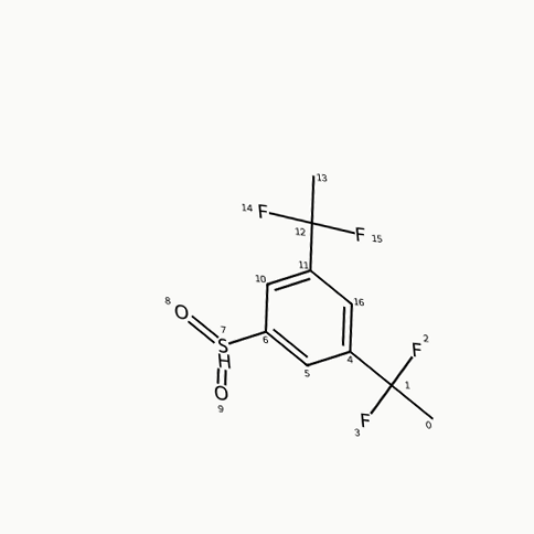 CC(F)(F)c1cc([SH](=O)=O)cc(C(C)(F)F)c1